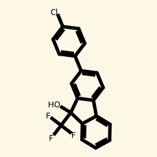 OC1(C(F)(F)F)c2ccccc2-c2ccc(-c3ccc(Cl)cc3)cc21